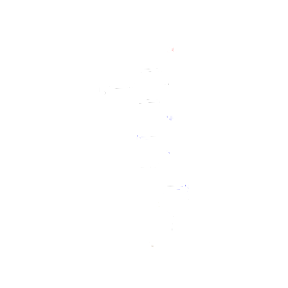 Oc1cc(Nc2nccc(-c3ncc(CBr)s3)n2)cc(C(F)(F)F)c1